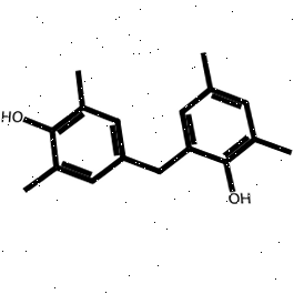 Cc1cc(C)c(O)c(Cc2cc(C)c(O)c(C)c2)c1